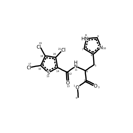 COC(=O)C(Cc1c[nH]cn1)NC(=O)c1sc(Cl)c(Cl)c1Cl